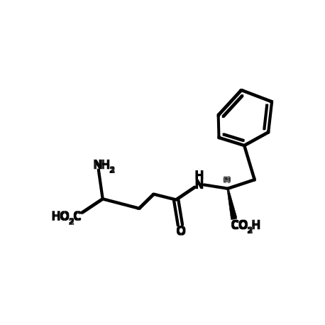 NC(CCC(=O)N[C@@H](Cc1ccccc1)C(=O)O)C(=O)O